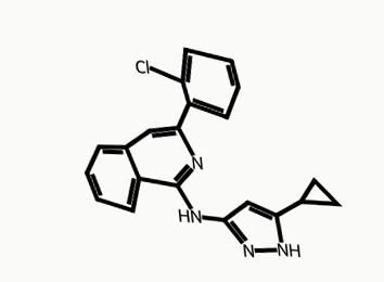 Clc1ccccc1-c1cc2ccccc2c(Nc2cc(C3CC3)[nH]n2)n1